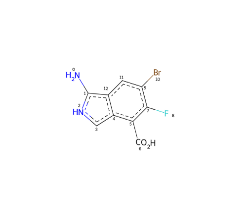 Nc1[nH]cc2c(C(=O)O)c(F)c(Br)cc12